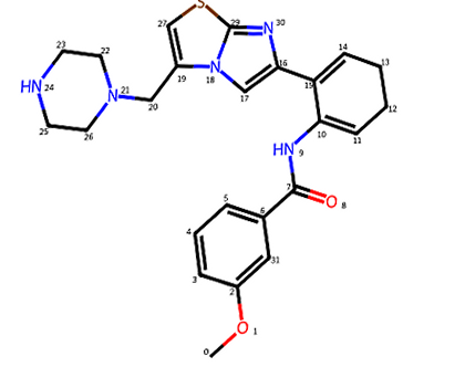 COc1cccc(C(=O)NC2=CCCC=C2c2cn3c(CN4CCNCC4)csc3n2)c1